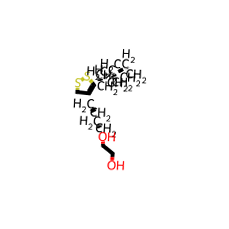 C1=CSSC1.C=C.C=C.C=C.C=C.C=C.C=C.C=C.OCCO